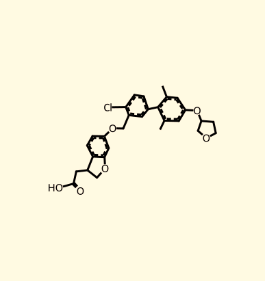 Cc1cc(OC2CCOC2)cc(C)c1-c1ccc(Cl)c(COc2ccc3c(c2)OCC3CC(=O)O)c1